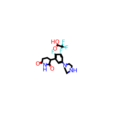 O=C(O)C(F)(F)F.O=C1CCC(c2cc(N3CCNCC3)ccc2F)C(=O)N1